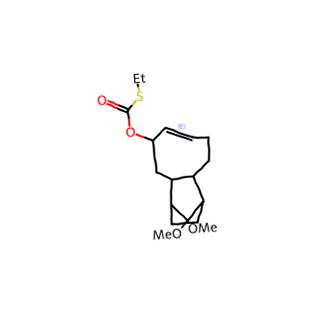 CCSC(=O)OC1/C=C/CCC2C(C1)C1CCC2C1(OC)OC